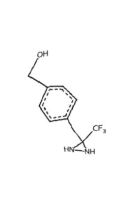 OCc1ccc(C2(C(F)(F)F)NN2)cc1